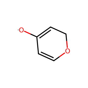 [O]C1=CCOC=C1